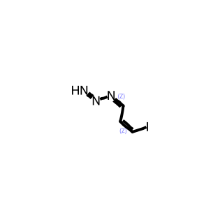 N=N/N=C\C=C/I